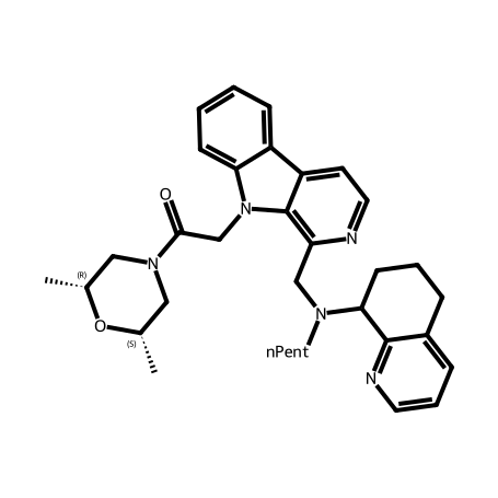 CCCCCN(Cc1nccc2c3ccccc3n(CC(=O)N3C[C@@H](C)O[C@@H](C)C3)c12)C1CCCc2cccnc21